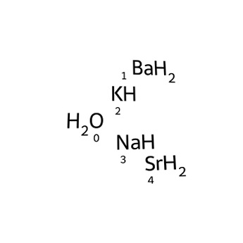 O.[BaH2].[KH].[NaH].[SrH2]